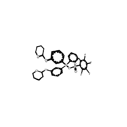 O=S(=O)(OS(c1ccccc1)(c1cccc(OC2CCCCO2)c1)c1cccc(OC2CCCCO2)c1)c1c(F)c(F)c(F)c(F)c1F